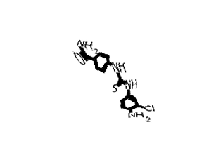 NC(=O)c1ccc(NC(=S)Nc2ccc(N)c(Cl)c2)cc1